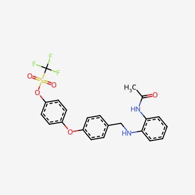 CC(=O)Nc1ccccc1NCc1ccc(Oc2ccc(OS(=O)(=O)C(F)(F)F)cc2)cc1